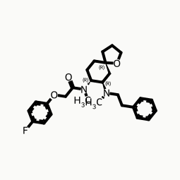 CN(CCc1ccccc1)[C@@H]1C[C@]2(CCCO2)CC[C@H]1N(C)C(=O)COc1ccc(F)cc1